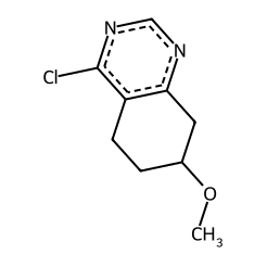 COC1CCc2c(Cl)ncnc2C1